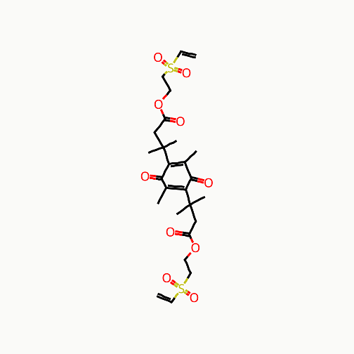 C=CS(=O)(=O)CCOC(=O)CC(C)(C)C1=C(C)C(=O)C(C(C)(C)CC(=O)OCCS(=O)(=O)C=C)=C(C)C1=O